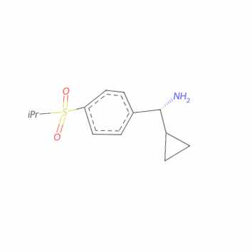 CC(C)S(=O)(=O)c1ccc([C@H](N)C2CC2)cc1